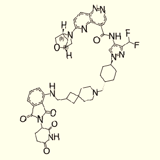 O=C1CCC(N2C(=O)c3cccc(NCC4CC5(CCN(C[C@H]6CC[C@H](n7cc(NC(=O)c8cnnc9ccc(N%10C[C@H]%11C[C@@H]%10CO%11)nc89)c(C(F)F)n7)CC6)CC5)C4)c3C2=O)C(=O)N1